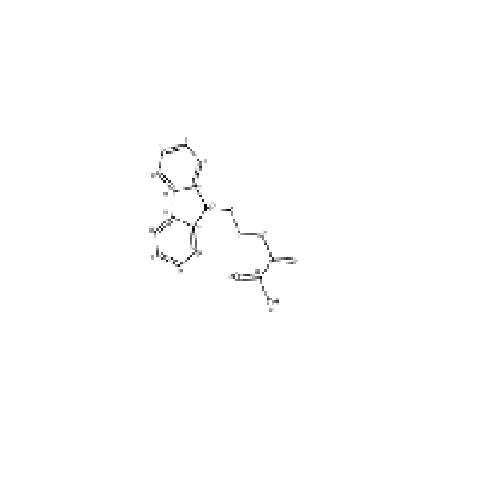 C=C(CCCn1c2ccccc2c2ccccc21)C(=O)O